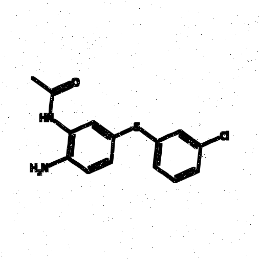 CC(=O)Nc1cc(Sc2cccc(Cl)c2)ccc1N